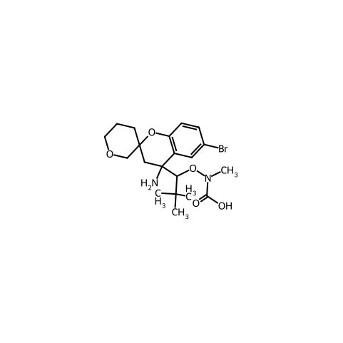 CN(OC(C(C)(C)C)C1(N)CC2(CCCOC2)Oc2ccc(Br)cc21)C(=O)O